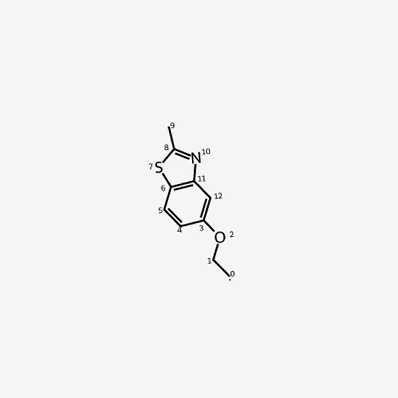 [CH2]COc1ccc2sc(C)nc2c1